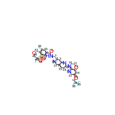 O=C(NCc1cc2nc(N3CCOc4cc(OCC(F)F)cnc43)ccc2cn1)c1cc(F)c2c(c1)S(=O)(=O)[C@@H](F)COC2